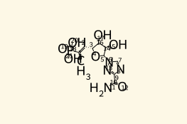 C/C(=C\[C@H]1OC(n2cnc(C(N)=O)n2)[C@H](O)[C@@H]1O)P(=O)(O)O